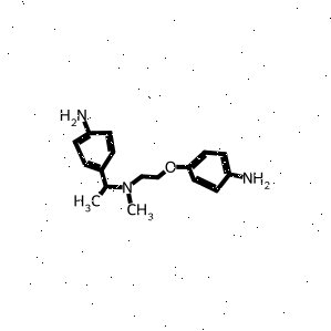 CC(c1ccc(N)cc1)N(C)CCOc1ccc(N)cc1